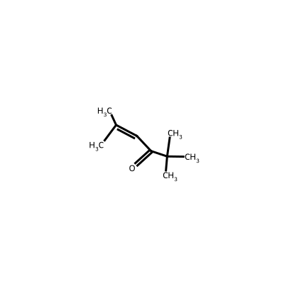 CC(C)=CC(=O)C(C)(C)C